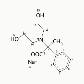 CC(C(=O)[O-])(c1ccccc1)N(CCO)CCO.[Na+]